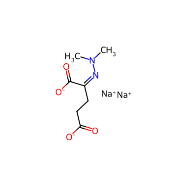 CN(C)N=C(CCC(=O)[O-])C(=O)[O-].[Na+].[Na+]